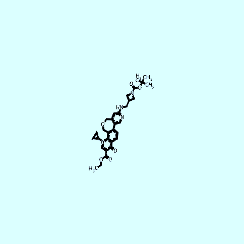 CCOC(=O)c1cn(C2CC2)c2c3c(ccc2c1=O)-c1cnc(NCC2CN(C(=O)OC(C)(C)C)C2)cc1COC3